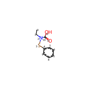 CCN(Sc1ccccc1)C(=O)O